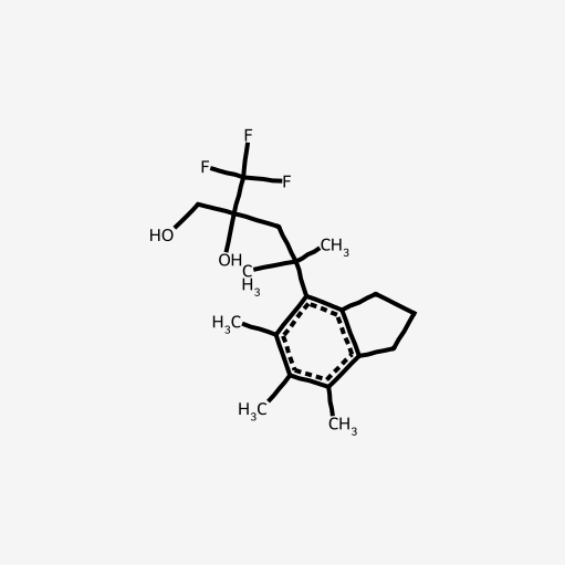 Cc1c(C)c2c(c(C(C)(C)CC(O)(CO)C(F)(F)F)c1C)CCC2